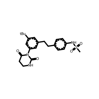 CC(C)(C)c1cc(CCc2ccc(NS(C)(=O)=O)cc2)cc(N2C(=O)CCNC2=O)c1